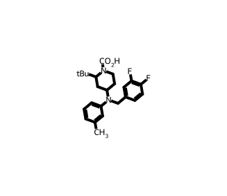 Cc1cccc(N(Cc2ccc(F)c(F)c2)C2CCN(C(=O)O)C(C(C)(C)C)C2)c1